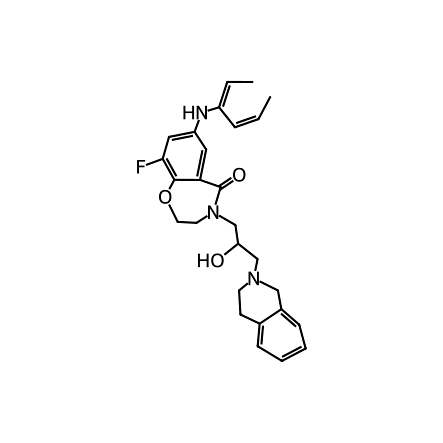 C/C=C\C(=C/C)Nc1cc(F)c2c(c1)C(=O)N(CC(O)CN1CCc3ccccc3C1)CCO2